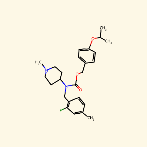 Cc1ccc(CN(C(=O)OCc2ccc(OC(C)C)cc2)C2CCN(C)CC2)c(F)c1